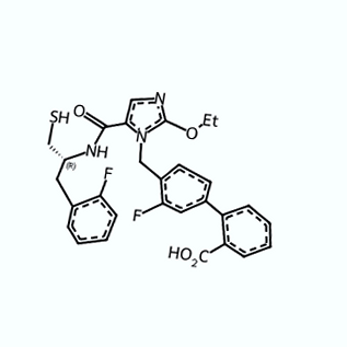 CCOc1ncc(C(=O)N[C@@H](CS)Cc2ccccc2F)n1Cc1ccc(-c2ccccc2C(=O)O)cc1F